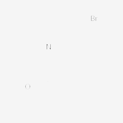 O=C1c2ncc(Br)cc2C2CC12